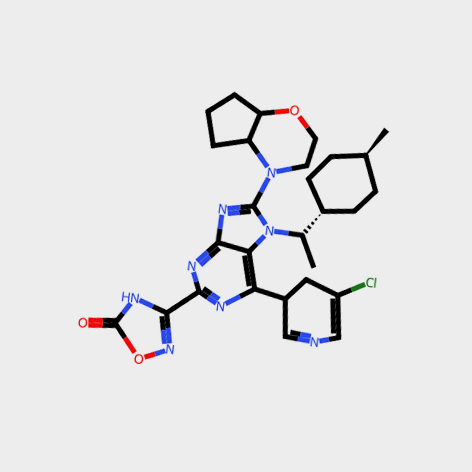 CC([C@H]1CC[C@H](C)CC1)n1c(N2CCOC3CCCC32)nc2nc(-c3noc(=O)[nH]3)nc(C3C=NC=C(Cl)C3)c21